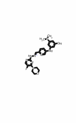 CN(C)c1cc(O)cc(Nc2ccc(/C=N/Nc3ncc(F)c(N4CCOCC4)n3)nc2)c1